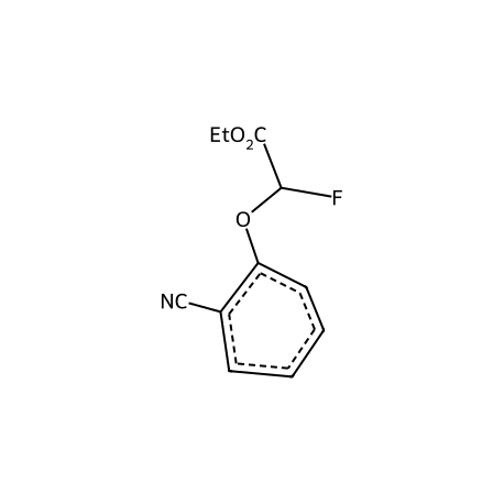 CCOC(=O)C(F)Oc1ccccc1C#N